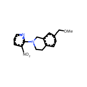 COCc1ccc2c(c1)CN(c1ncccc1[N+](=O)[O-])CC2